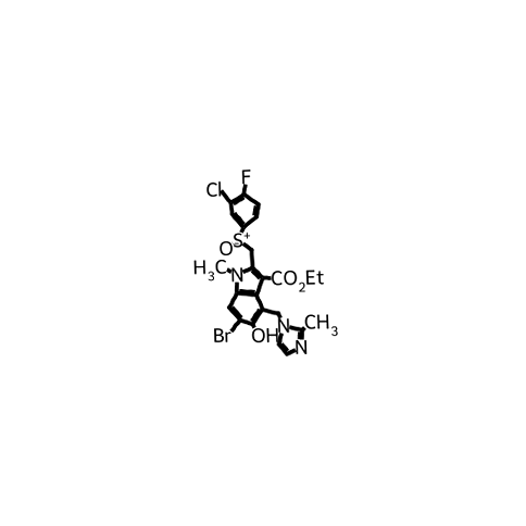 CCOC(=O)c1c(C[S+]([O-])c2ccc(F)c(Cl)c2)n(C)c2cc(Br)c(O)c(Cn3ccnc3C)c12